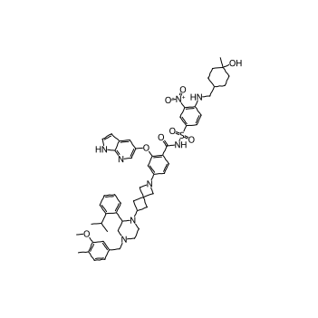 COc1cc(CN2CCN(C3CC4(C3)CN(c3ccc(C(=O)NS(=O)(=O)c5ccc(NCC6CCC(C)(O)CC6)c([N+](=O)[O-])c5)c(Oc5cnc6[nH]ccc6c5)c3)C4)C(c3ccccc3C(C)C)C2)ccc1C